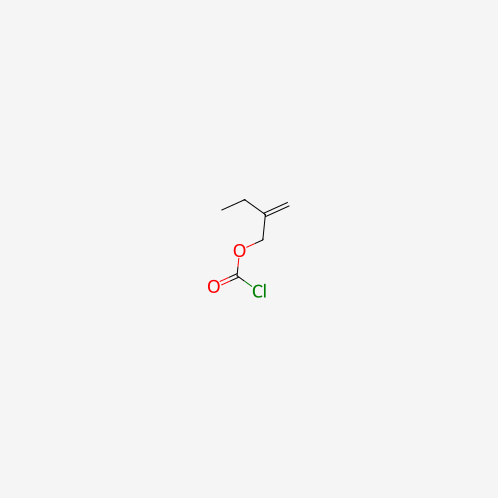 C=C(CC)COC(=O)Cl